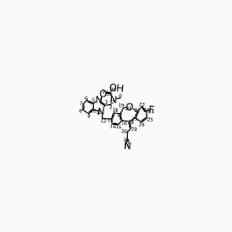 CN(Cc1nc2ccccc2n1Cc1ccc2c(c1)COc1cc(F)ccc1C2=CCC#N)C(=O)O